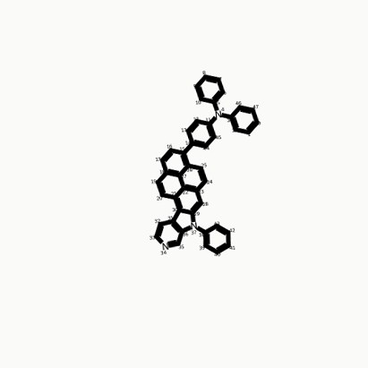 c1ccc(N(c2ccccc2)c2ccc(-c3ccc4ccc5c6c(ccc3c46)cc3c5c4ccncc4n3-c3ccccc3)cc2)cc1